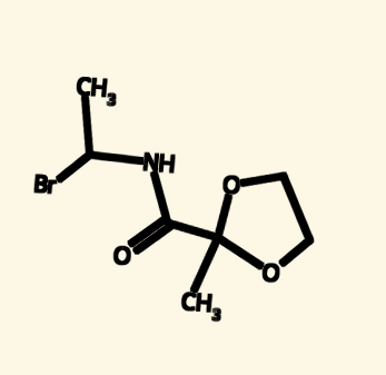 CC(Br)NC(=O)C1(C)OCCO1